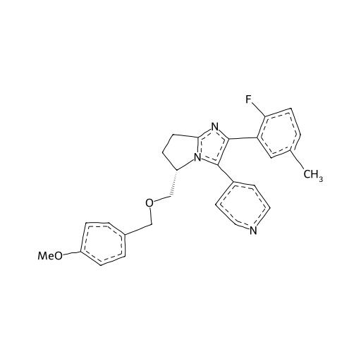 COc1ccc(COC[C@@H]2CCc3nc(-c4cc(C)ccc4F)c(-c4ccncc4)n32)cc1